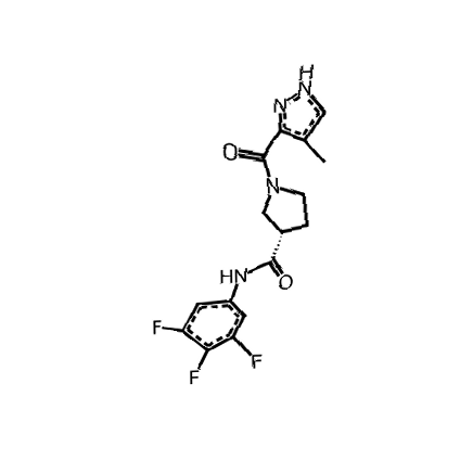 Cc1c[nH]nc1C(=O)N1CC[C@H](C(=O)Nc2cc(F)c(F)c(F)c2)C1